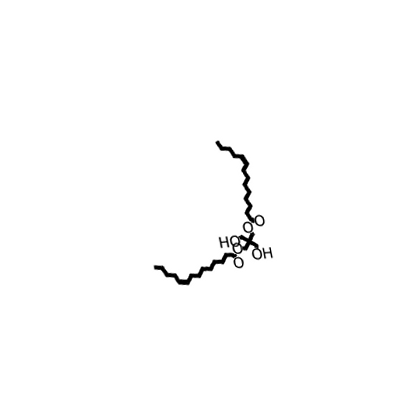 CCCC/C=C\CCCCCCCC(=O)OCC(CO)(CO)COC(=O)CCCCCCC/C=C\CCCC